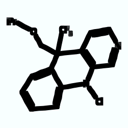 CC(C)OCC1(C(F)(F)F)c2ccccc2N(Cl)c2cnccc21